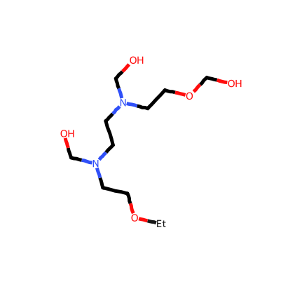 CCOCCN(CO)CCN(CO)CCOCO